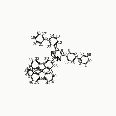 c1ccc(-c2ccc(-c3cc(-c4cccc(-c5ccccc5)c4)nc(-c4ccc5c(c4)-c4ccccc4C54c5ccccc5-c5ccc6ccccc6c54)n3)cc2)cc1